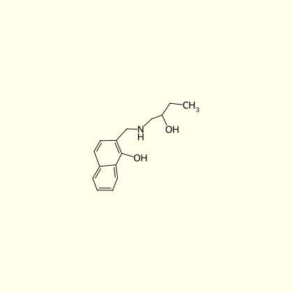 CCC(O)CNCc1ccc2ccccc2c1O